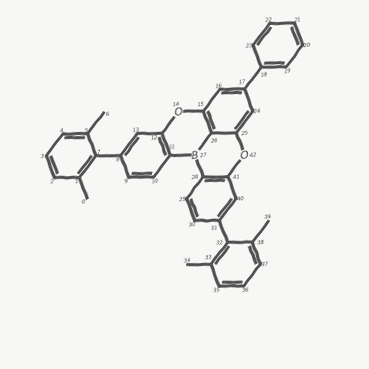 Cc1cccc(C)c1-c1ccc2c(c1)Oc1cc(-c3ccccc3)cc3c1B2c1ccc(-c2c(C)cccc2C)cc1O3